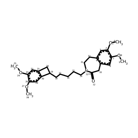 COc1cc2c(cc1OC)CC(=O)N(CCCCCC1Cc3cc(OC)c(OC)cc31)CC2